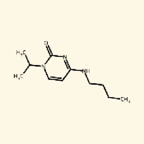 CCCCNc1ccn(C(C)C)c(=O)n1